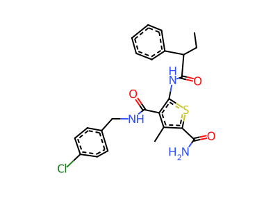 CCC(C(=O)Nc1sc(C(N)=O)c(C)c1C(=O)NCc1ccc(Cl)cc1)c1ccccc1